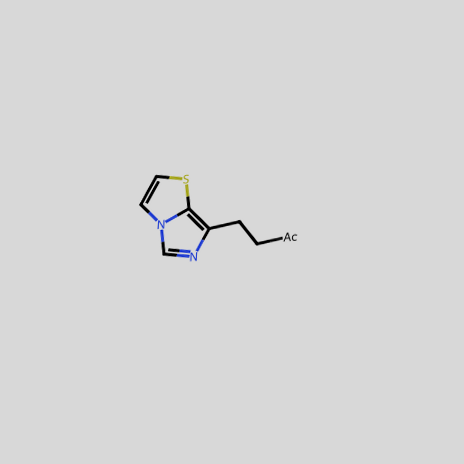 CC(=O)CCc1ncn2ccsc12